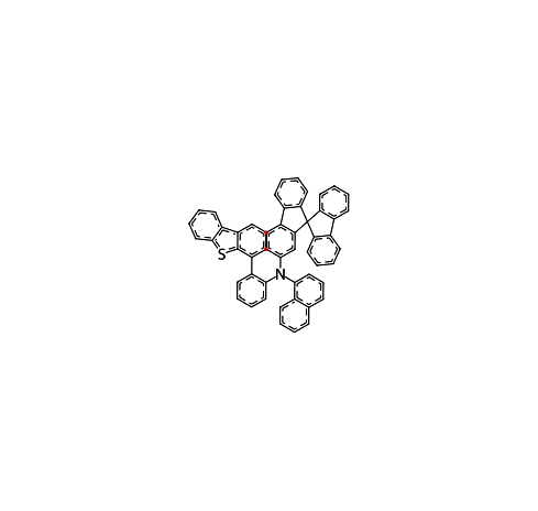 c1ccc(N(c2ccc3c(c2)C2(c4ccccc4-c4ccccc42)c2ccccc2-3)c2cccc3ccccc23)c(-c2cccc3c2sc2ccccc23)c1